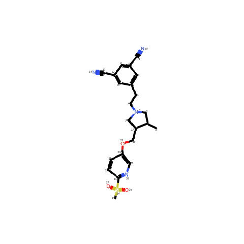 CC1CN(CCc2cc(C#N)cc(C#N)c2)CC1COc1ccc(S(C)(=O)=O)nc1